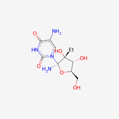 CC[C@@]1(O)[C@H](O)[C@@H](CO)O[C@@]1(N)n1cc(N)c(=O)[nH]c1=O